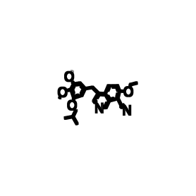 CCOc1ccc2c(Cc3cc(OC)c(OC)c(OCC(C)C)c3)cncc2c1C#N